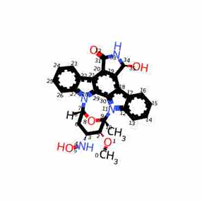 CO[C@@H]1[C@H](NO)C[C@H]2O[C@]1(C)n1c3ccccc3c3c4c(c5c6ccccc6n2c5c31)C(=O)N[C@H]4O